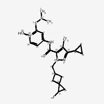 CN(C)Sc1cc(NC(=O)c2c(C(F)(F)F)c(C3CC3)nn2CC2CC3(C2)CC3F)cc[n+]1O